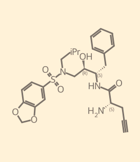 C#CC[C@H](N)C(=O)N[C@@H](Cc1ccccc1)[C@H](O)CN(CC(C)C)S(=O)(=O)c1ccc2c(c1)OCO2